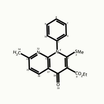 CCOC(=O)c1c(SC)n(-c2ccccc2)c2nc(C)ccc2c1=O